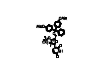 COc1ccc(C(OC[C@H]2O[C@@H](n3ccc(=O)[nH]c3=O)[C@](C)(F)[C@@H]2O[Si](C)(C)C(C)(C)C)(c2ccccc2)c2ccc(OC)cc2)cc1